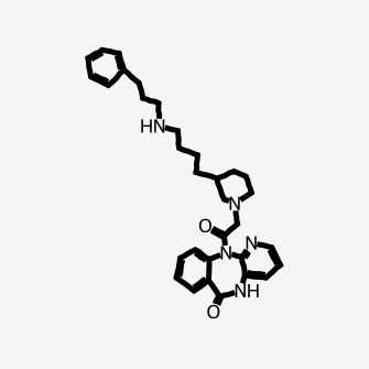 O=C1Nc2cccnc2N(C(=O)CN2CCCC(CCCCNCCCc3ccccc3)C2)c2ccccc21